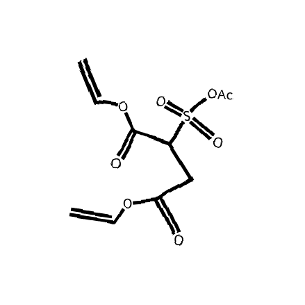 C=COC(=O)CC(C(=O)OC=C)S(=O)(=O)OC(C)=O